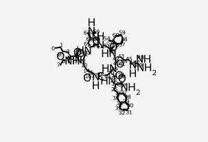 CCCC[C@H](NC(C)=O)C(=O)N[C@H]1CCC(=O)NCC[C@@H](C(=O)NC(Cc2ccc3ccccc3c2)C(N)=O)NC(=O)[C@H](CCCNC(=N)N)NC(=O)[C@@H](Cc2ccccc2)NC(=O)[C@H](Cc2c[nH]cn2)NC1=O